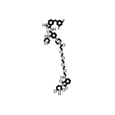 O=C1CCC(N2C(=O)c3cccc(NCCOCCOCCOCCOCCC(=O)N4CCN(c5ccc(C(=O)Nc6n[nH]c7ccc(Cc8cc(F)cc(F)c8)cc67)c(NC6CCOCC6)c5)CC4)c3C2=O)C(=O)N1